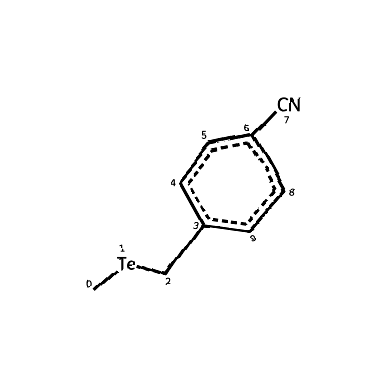 C[Te]Cc1ccc(C#N)cc1